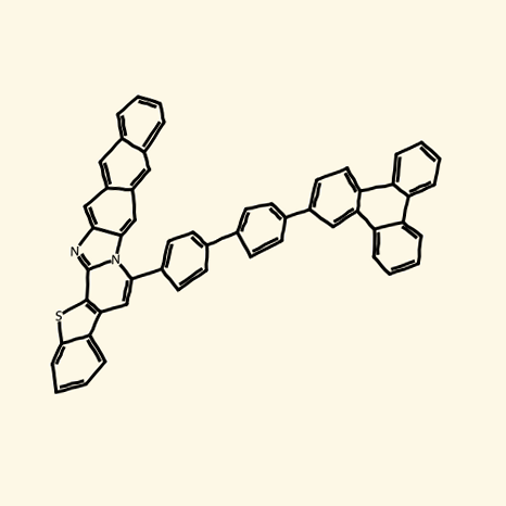 c1ccc2cc3cc4c(cc3cc2c1)nc1c2sc3ccccc3c2cc(-c2ccc(-c3ccc(-c5ccc6c7ccccc7c7ccccc7c6c5)cc3)cc2)n41